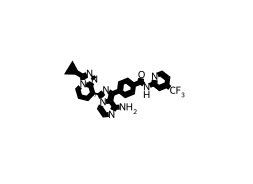 Nc1nccn2c([C@H]3CCCn4c(C5CC5)nnc43)nc(-c3ccc(C(=O)Nc4cc(C(F)(F)F)ccn4)cc3)c12